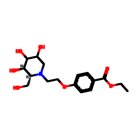 CCOC(=O)c1ccc(OCCN2CC(O)C(O)[C@H](O)[C@H]2CO)cc1